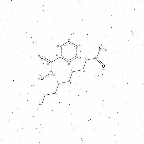 CCCCCCCCC(N)=O.O=C(OO)c1ccccc1